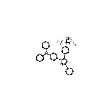 CC(C)(C)c1ccc(-c2nc(-c3ccccc3)nn2-c2ccc(N(c3ccccc3)c3ccccc3)cc2)cc1